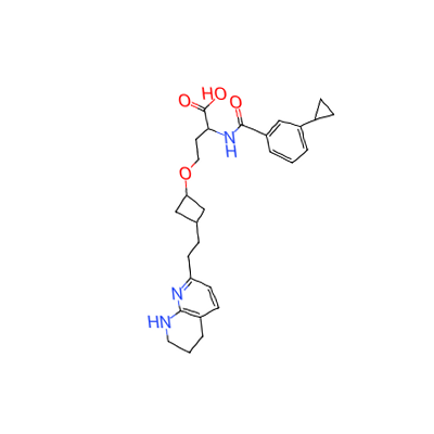 O=C(NC(CCOC1CC(CCc2ccc3c(n2)NCCC3)C1)C(=O)O)c1cccc(C2CC2)c1